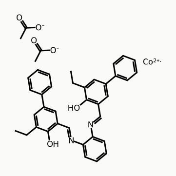 CC(=O)[O-].CC(=O)[O-].CCc1cc(-c2ccccc2)cc(C=Nc2ccccc2N=Cc2cc(-c3ccccc3)cc(CC)c2O)c1O.[Co+2]